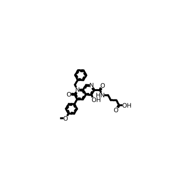 COc1ccc(-c2cc3c(O)c(C(=O)NCCCC(=O)O)ncc3n(Cc3ccccc3)c2=O)cc1